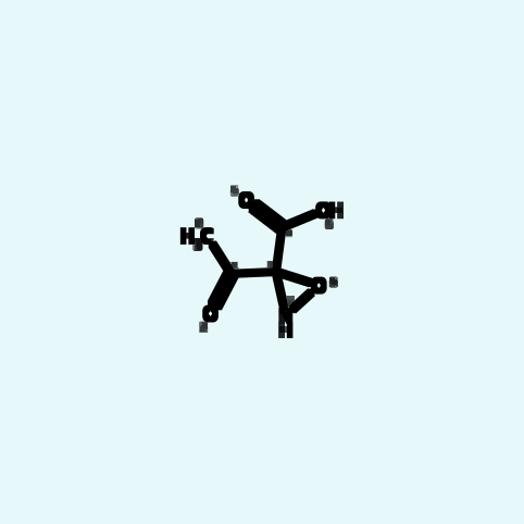 CC(=O)C1(C(=O)O)NO1